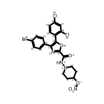 O=C(NN1CCC(O[N+](=O)[O-])CC1)c1nc(-c2ccc(Br)cc2)c(-c2ccc(Cl)cc2Cl)o1